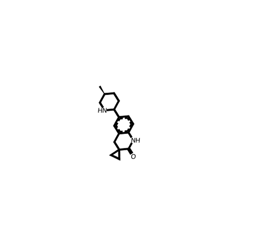 C[C@H]1CCC(c2ccc3c(c2)CC2(CC2)C(=O)N3)NC1